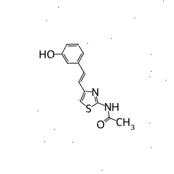 CC(=O)Nc1nc(C=Cc2cccc(O)c2)cs1